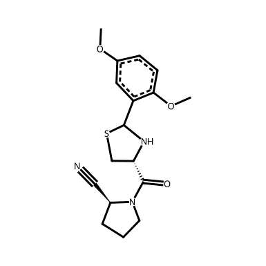 COc1ccc(OC)c(C2N[C@H](C(=O)N3CCC[C@H]3C#N)CS2)c1